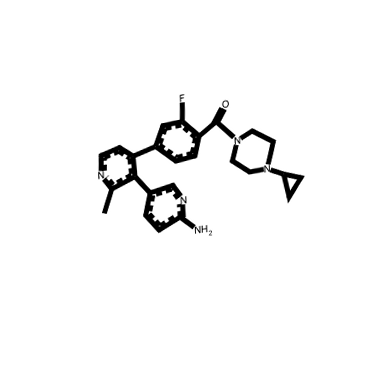 Cc1nccc(-c2ccc(C(=O)N3CCN(C4CC4)CC3)c(F)c2)c1-c1ccc(N)nc1